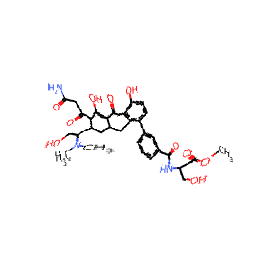 COC(=O)C(CO)NC(=O)c1cccc(-c2ccc(O)c3c2CC2CC(C(CO)N(C)C)C(C(=O)CC(N)=O)C(O)=C2C3=O)c1